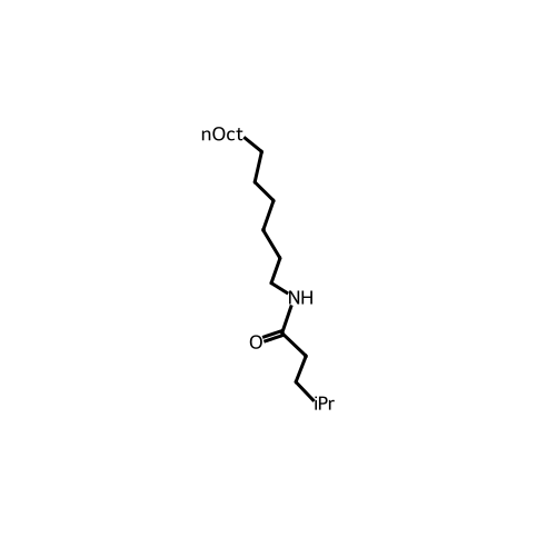 CCCCCCCCCCCCCCNC(=O)CCC(C)C